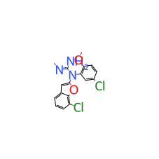 CN=C(N)N(c1cc2cccc(Cl)c2o1)c1cc(Cl)ccc1OC